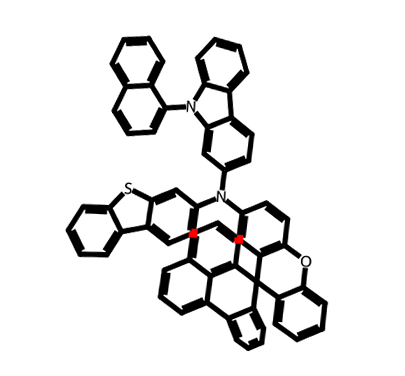 c1ccc2c(c1)Oc1ccc(N(c3ccc4c(c3)sc3ccccc34)c3ccc4c5ccccc5n(-c5cccc6ccccc56)c4c3)cc1C21c2ccccc2-c2cccc3cccc1c23